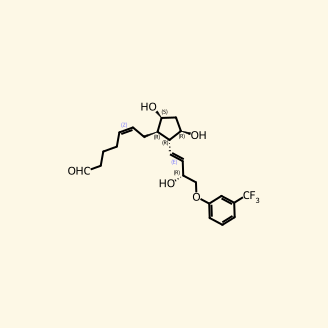 O=CCCC/C=C\C[C@@H]1[C@@H](/C=C/[C@@H](O)COc2cccc(C(F)(F)F)c2)[C@H](O)C[C@@H]1O